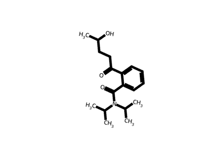 CC(O)CCC(=O)c1ccccc1C(=O)N(C(C)C)C(C)C